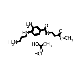 CC(=O)O.COC(=O)CCNC(=O)c1ccc(NCCCN)c(N)c1.Cl